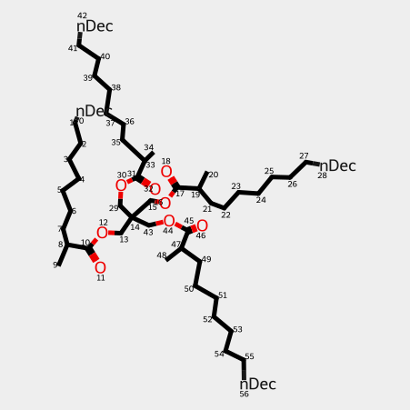 CCCCCCCCCCCCCCCCCC(C)C(=O)OCC(COC(=O)C(C)CCCCCCCCCCCCCCCCC)(COC(=O)C(C)CCCCCCCCCCCCCCCCC)COC(=O)C(C)CCCCCCCCCCCCCCCCC